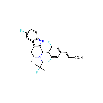 C[C@@H]1Cc2c([nH]c3ccc(F)cc23)[C@@H](C2C(F)=CC(/C=C/C(=O)O)=CC2F)N1CC(C)(C)F